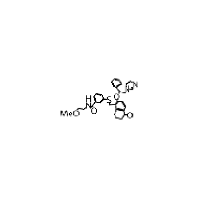 COCCNC(=O)c1cccc(SCc2c(O[C@H](Cn3ccnc3)c3ccccc3)ccc3c2CCCC3=O)c1